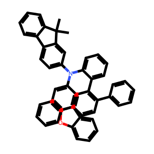 CC1(C)c2ccccc2-c2ccc(N(c3ccc4oc5ccccc5c4c3)c3ccccc3-c3cc(-c4ccccc4)ccc3-c3ccccc3)cc21